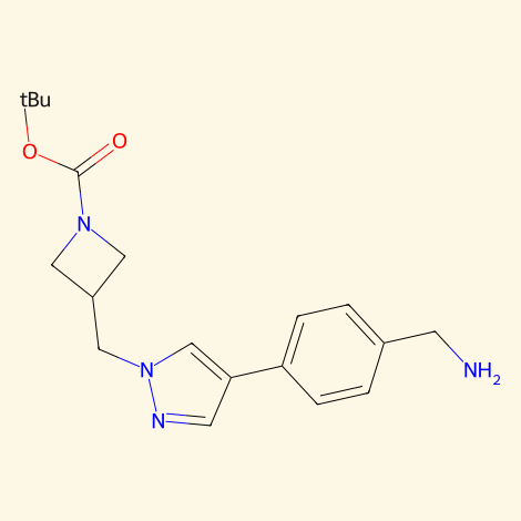 CC(C)(C)OC(=O)N1CC(Cn2cc(-c3ccc(CN)cc3)cn2)C1